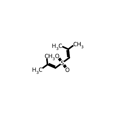 CC(C)=CS(=O)(=O)C=C(C)C